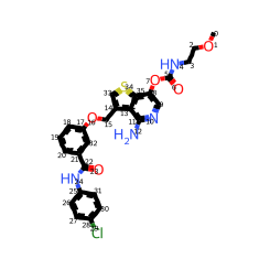 COCCNC(=O)Oc1cnc(N)c2c(COc3cccc(C(=O)Nc4ccc(Cl)cc4)c3)csc12